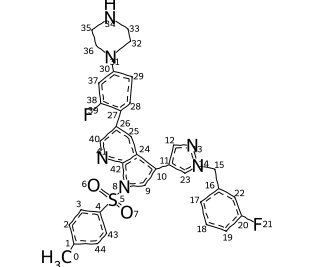 Cc1ccc(S(=O)(=O)n2cc(-c3cnn(Cc4cccc(F)c4)c3)c3cc(-c4ccc(N5CCNCC5)cc4F)cnc32)cc1